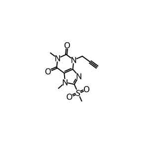 C#CCn1c(=O)n(C)c(=O)c2c1nc(S(C)(=O)=O)n2C